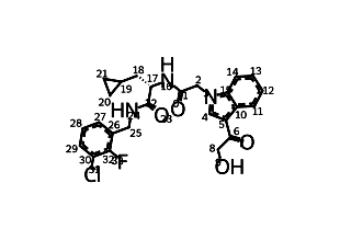 O=C(Cn1cc(C(=O)CO)c2ccccc21)N[C@@H](CC1CC1)C(=O)NCc1cccc(Cl)c1F